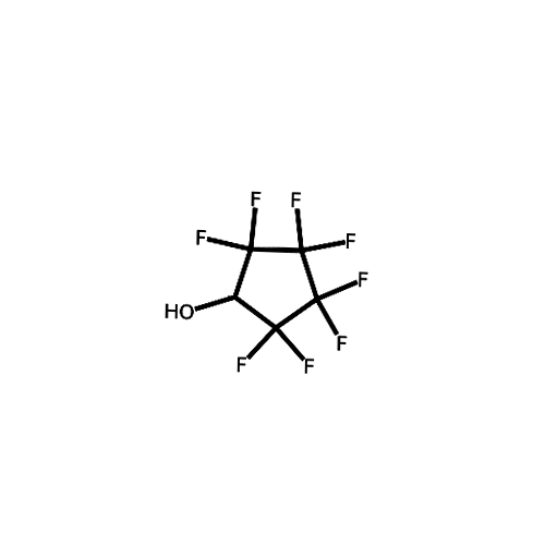 O[C]1C(F)(F)C(F)(F)C(F)(F)C1(F)F